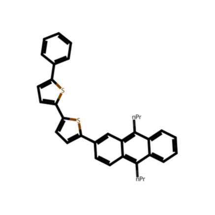 CCCc1c2ccccc2c(CCC)c2cc(-c3ccc(-c4ccc(-c5ccccc5)s4)s3)ccc12